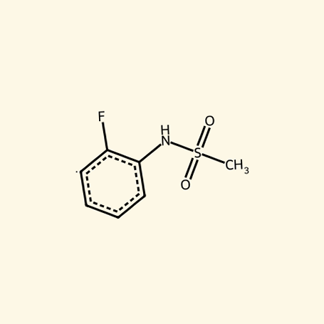 CS(=O)(=O)Nc1ccc[c]c1F